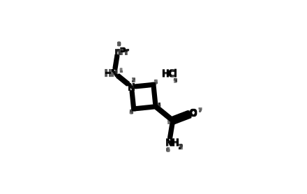 CCCNN1CC(C(N)=O)C1.Cl